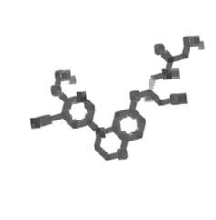 CCC(=O)NC[C@H](CO)Oc1ccc2c(c1)N(c1cnc(OC)c(C#N)c1)CCO2